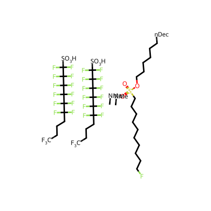 CCCCCCCCCCCCCCCCOS(=O)(=O)CCCCCCCCCCF.CNC.CNC.O=S(=O)(O)C(F)(F)C(F)(F)C(F)(F)C(F)(F)C(F)(F)C(F)(F)CCCC(F)(F)F.O=S(=O)(O)C(F)(F)C(F)(F)C(F)(F)C(F)(F)C(F)(F)C(F)(F)CCCC(F)(F)F